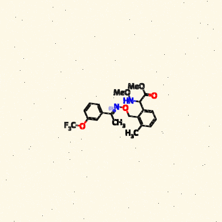 CONC(C(=O)OC)c1cccc(C)c1CO/N=C(\C)c1cccc(OC(F)(F)F)c1